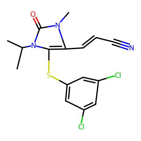 CC(C)n1c(Sc2cc(Cl)cc(Cl)c2)c(C=CC#N)n(C)c1=O